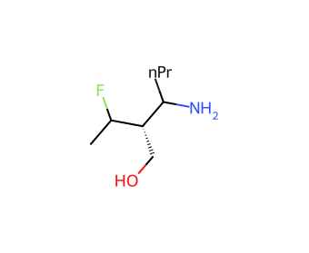 CCCC(N)[C@H](CO)C(C)F